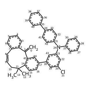 C=C1c2ccccc2/C=C\CC(C)(C)c2ccc(-c3cc(Cl)cc(N(c4ccccc4)c4ccc(-c5ccccc5)cc4)c3)cc21